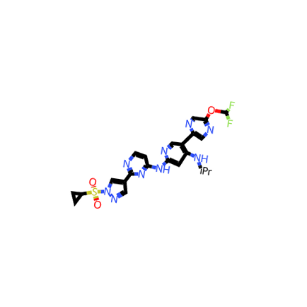 CC(C)Nc1cc(Nc2ccnc(-c3cnn(S(=O)(=O)C4CC4)c3)n2)ncc1-c1cnc(OC(F)F)cn1